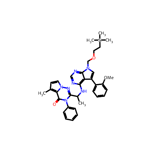 COc1ccccc1-c1cn(COCC[Si](C)(C)C)c2ncnc(NC(C)c3nn4ccc(C)c4c(=O)n3-c3ccccc3)c12